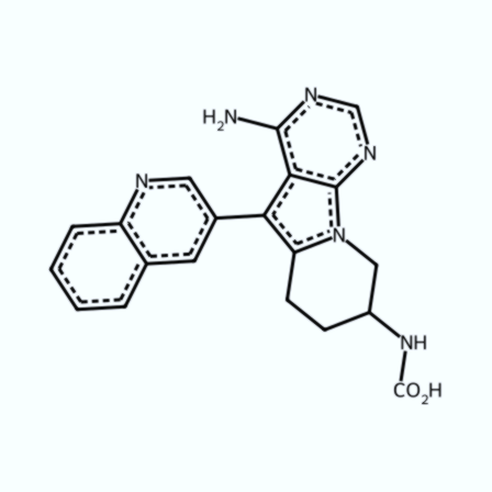 Nc1ncnc2c1c(-c1cnc3ccccc3c1)c1n2CC(NC(=O)O)CC1